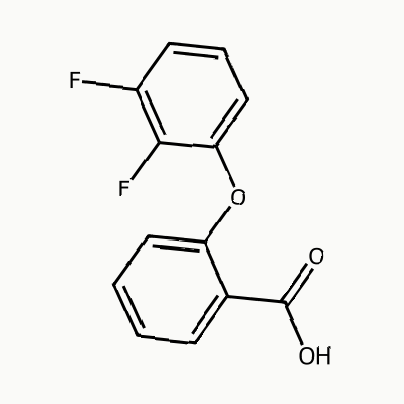 O=C(O)c1ccccc1Oc1cccc(F)c1F